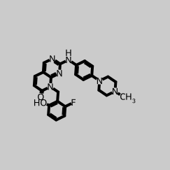 CN1CCN(c2ccc(Nc3ncc4ccc(=O)n(Cc5c(O)cccc5F)c4n3)cc2)CC1